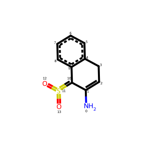 NC1=CCc2ccccc2C1=S(=O)=O